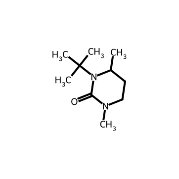 CC1CCN(C)C(=O)N1C(C)(C)C